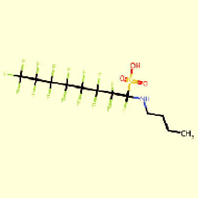 CCCCNC(F)(C(F)(F)C(F)(F)C(F)(F)C(F)(F)C(F)(F)C(F)(F)C(F)(F)F)S(=O)(=O)O